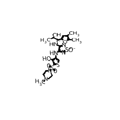 Cc1cc([C@H](Nc2n[s+]([O-])nc2Nc2csc(S(=O)(=O)N3CCN(C)CC3)c2O)C(C)C)oc1C